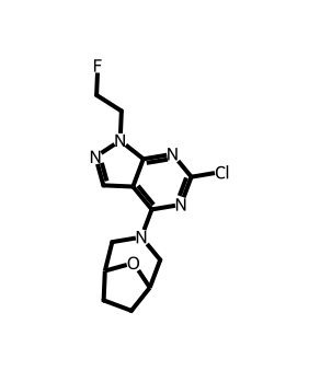 FCCn1ncc2c(N3CC4CCC(C3)O4)nc(Cl)nc21